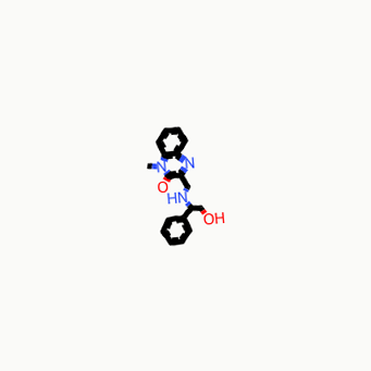 Cn1c(=O)c(CNC(CO)c2ccccc2)nc2ccccc21